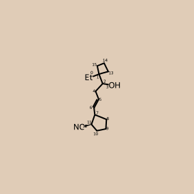 CCC1(C(O)C/C=C/C2CCC[C@H]2C#N)CCC1